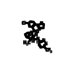 C[C@@H]1C2CC(C2)N(C(=O)c2cc(Cl)ccc2-n2nccn2)[C@@H]1CNc1ccc(C(F)(F)F)nn1